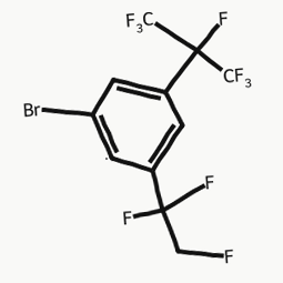 FCC(F)(F)c1[c]c(Br)cc(C(F)(C(F)(F)F)C(F)(F)F)c1